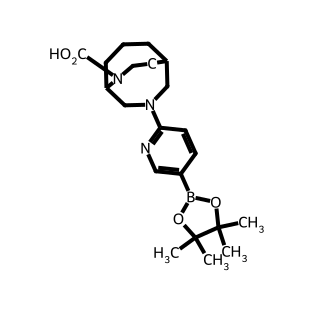 CC1(C)OB(c2ccc(N3CC4CCCC(C3)N(C(=O)O)CC4)nc2)OC1(C)C